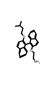 CC(C)CCOc1ccc2ccccc2c1-c1c(OCCN)ccc2ccccc12